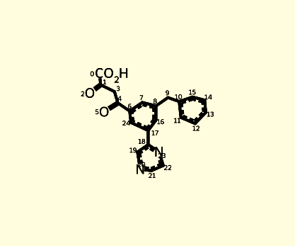 O=C(O)C(=O)CC(=O)c1cc(Cc2ccccc2)cc(-c2cnccn2)c1